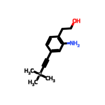 C[Si](C)(C)C#Cc1ccc(CCO)c(N)c1